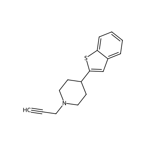 C#CCN1CCC(c2cc3ccccc3s2)CC1